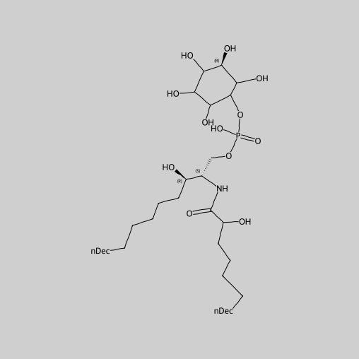 CCCCCCCCCCCCCCC[C@@H](O)[C@H](COP(=O)(O)OC1C(O)C(O)C(O)[C@@H](O)C1O)NC(=O)C(O)CCCCCCCCCCCCCC